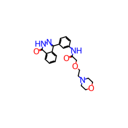 O=C(COCCN1CCOCC1)Nc1cccc(-c2n[nH]c(=O)c3ccccc23)c1